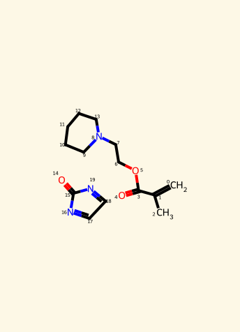 C=C(C)C(=O)OCCN1CCCCC1.O=C1N=CC=N1